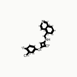 Cl.Fc1ccc(OC2CC(NCc3cccc4cnccc34)C2)cc1Cl